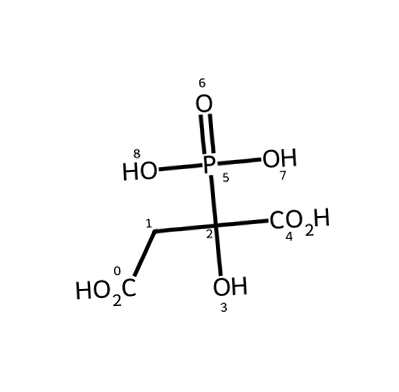 O=C(O)CC(O)(C(=O)O)P(=O)(O)O